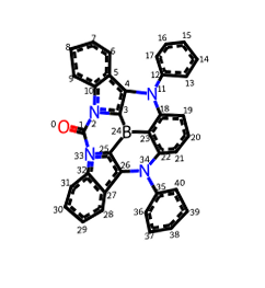 O=C1n2c3c(c4ccccc42)N(c2ccccc2)c2cccc4c2B3c2c(c3ccccc3n21)N4c1ccccc1